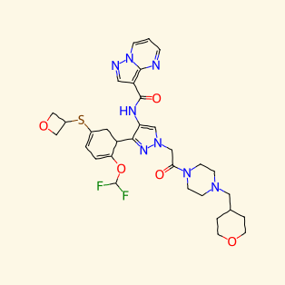 O=C(Nc1cn(CC(=O)N2CCN(CC3CCOCC3)CC2)nc1C1CC(SC2COC2)=CC=C1OC(F)F)c1cnn2cccnc12